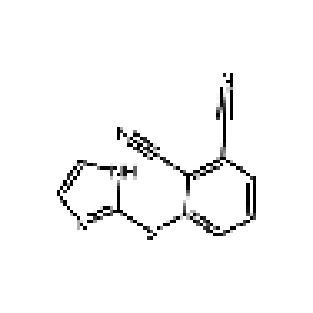 N#Cc1cccc(Sc2ncc[nH]2)c1C#N